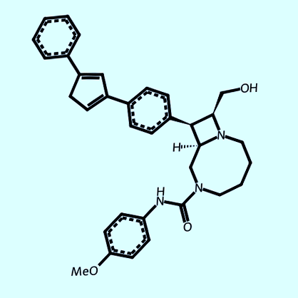 COc1ccc(NC(=O)N2CCCCN3[C@H](CO)[C@H](c4ccc(C5=CCC(c6ccccc6)=C5)cc4)[C@@H]3C2)cc1